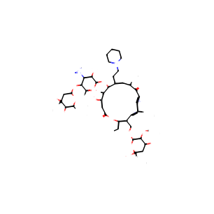 CCC1OC(=O)CC(O)C(C)C(OC2OC(C)C(OC3CC(C)(O)C(O)C(C)O3)C(N(C)C)C2O)C(CCN2CCCCC2)CC(C)C(=O)/C=C/C(C)=C/C1COC1OC(C)(O)CC(OC)C1OC